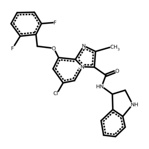 Cc1nc2c(OCc3c(F)cccc3F)cc(Cl)cn2c1C(=O)NC1CNc2ccccc21